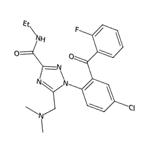 CCNC(=O)c1nc(CN(C)C)n(-c2ccc(Cl)cc2C(=O)c2ccccc2F)n1